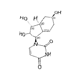 O=c1ccn([C@@H]2C3=CC[C@H](O)C[C@@H]3[C@@H](O)C2O)c(=O)[nH]1